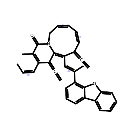 C=C=C1/C=C\C=C/Cn2c(=O)c(C)c(/C=C\C)c(=C=C)/c2=C1\C=C(/C)c1cccc2c1oc1ccccc12